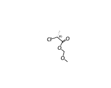 COCOC(=O)[C@@H](C)Cl